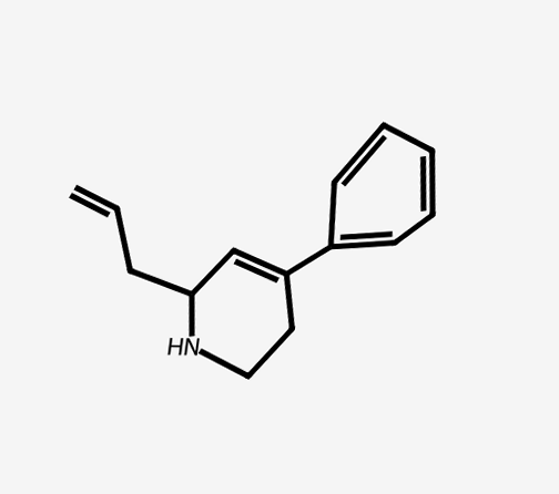 C=CCC1C=C(c2ccccc2)CCN1